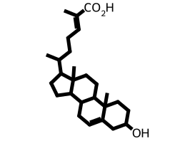 C/C(=C\CCC(C)C1CCC2C3CC=C4CC(O)CCC4(C)C3CCC12C)C(=O)O